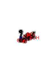 CCC(=O)O[C@H](CC)[C@@H](OC)[C@H]([C@@H](CC(OC)OC)C[C@@H](C)[C@H](CN(CCCCc1ccccc1)CCC(C)=O)OC(C)=O)[C@@H]1O[C@H](C)[C@@H](O[C@@H]2C[C@@](C)(O)[C@@H](OC(=O)CC)[C@H](C)O2)[C@H](N(C)C)[C@H]1OC(C)=O